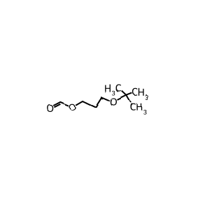 CC(C)(C)OCCCOC=O